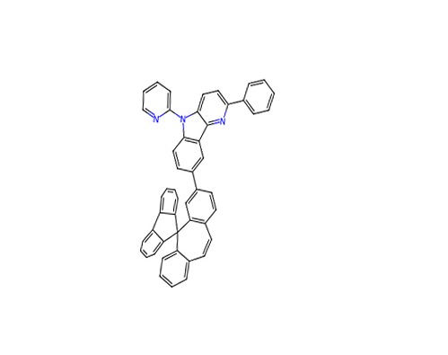 C1=Cc2ccc(-c3ccc4c(c3)c3nc(-c5ccccc5)ccc3n4-c3ccccn3)cc2C2(c3ccccc31)c1ccccc1-c1ccccc12